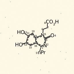 CCCc1nc(=O)n(CCC(=O)O)c2cc(O)c(O)cc12